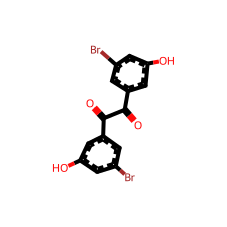 O=C(C(=O)c1cc(O)cc(Br)c1)c1cc(O)cc(Br)c1